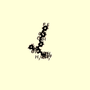 CC(C)(CCc1cnc2c(c1)c(-c1cccc(CNC(=O)c3cccn(Cc4ccc(F)c(F)c4)c3=O)c1)cn2[S+]([O-])c1ccccc1)[Si](C)(C)O